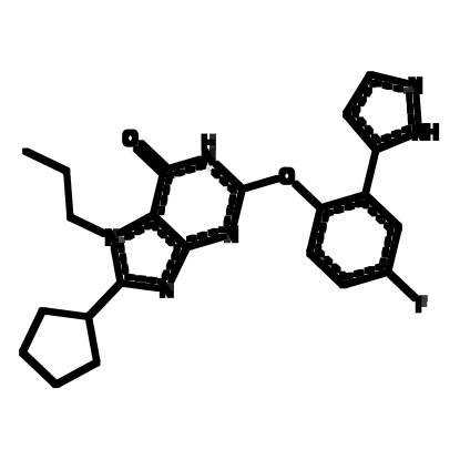 CCCn1c(C2CCCC2)nc2nc(Oc3ccc(F)cc3-c3ccn[nH]3)[nH]c(=O)c21